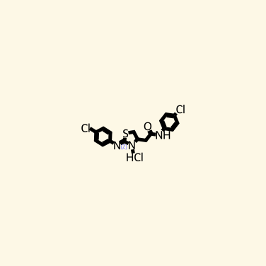 CN1/C(=N/c2ccc(Cl)cc2)SCC1CC(=O)Nc1ccc(Cl)cc1.Cl